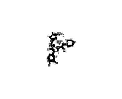 C[C@H](C(=O)NC[C@H](C(=O)NCc1cnc(N)s1)c1ccc(F)c(F)c1)N1CCCCC1